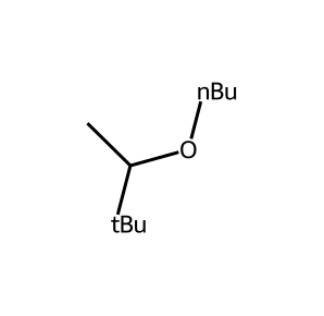 CCCCOC(C)C(C)(C)C